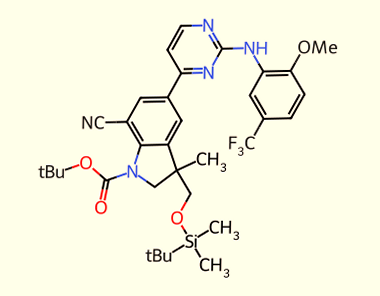 COc1ccc(C(F)(F)F)cc1Nc1nccc(-c2cc(C#N)c3c(c2)C(C)(CO[Si](C)(C)C(C)(C)C)CN3C(=O)OC(C)(C)C)n1